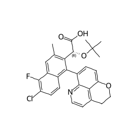 Cc1cc2c(F)c(Cl)ccc2c(-c2ccc3c4c(ccnc24)CCO3)c1[C@@H](OC(C)(C)C)C(=O)O